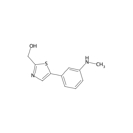 CNc1cccc(-c2cnc(CO)s2)c1